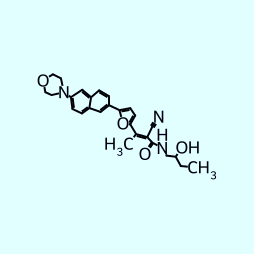 CCC(O)CNC(=O)/C(C#N)=C(\C)c1ccc(-c2ccc3cc(N4CCOCC4)ccc3c2)o1